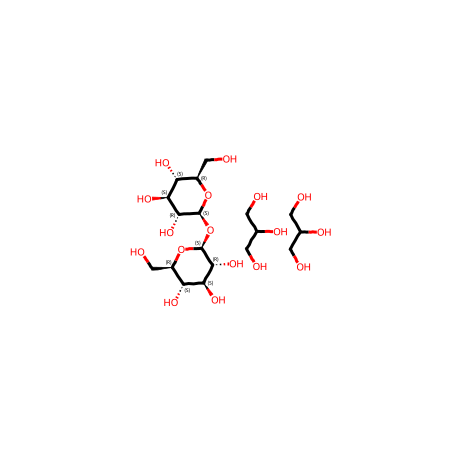 OCC(O)CO.OCC(O)CO.OC[C@H]1O[C@@H](O[C@@H]2O[C@H](CO)[C@@H](O)[C@H](O)[C@H]2O)[C@H](O)[C@@H](O)[C@@H]1O